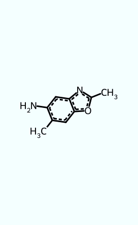 Cc1nc2cc(N)c(C)cc2o1